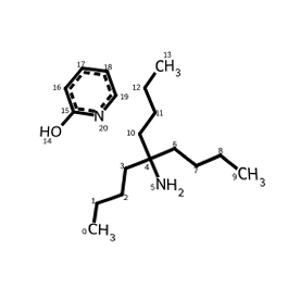 CCCCC(N)(CCCC)CCCC.Oc1ccccn1